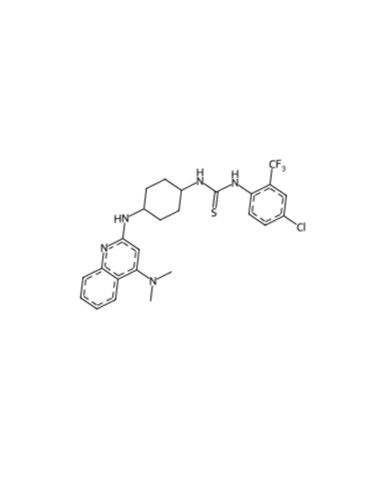 CN(C)c1cc(NC2CCC(NC(=S)Nc3ccc(Cl)cc3C(F)(F)F)CC2)nc2ccccc12